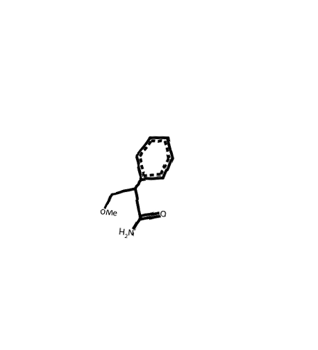 COCC(C(N)=O)c1ccccc1